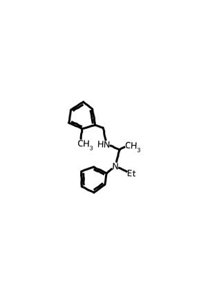 CCN(c1ccccc1)C(C)NCc1ccccc1C